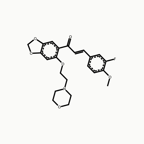 COc1ccc(C=CC(=O)c2cc3c(cc2OCCN2CCOCC2)OCO3)cc1F